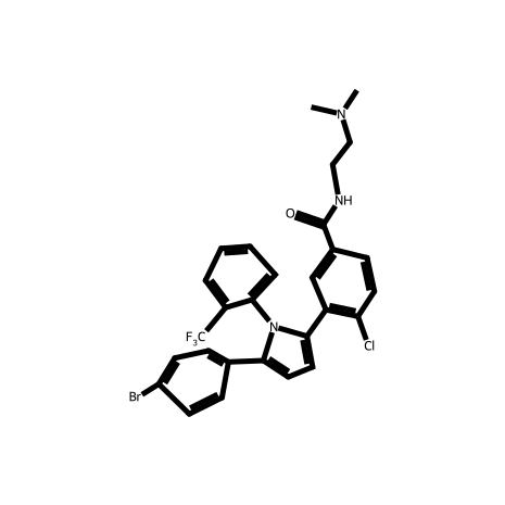 CN(C)CCNC(=O)c1ccc(Cl)c(-c2ccc(-c3ccc(Br)cc3)n2-c2ccccc2C(F)(F)F)c1